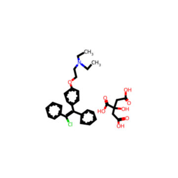 CCN(CC)CCOc1ccc(/C(=C(/Cl)c2ccccc2)c2ccccc2)cc1.O=C(O)CC(O)(CC(=O)O)C(=O)O